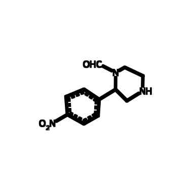 O=CN1CCNCC1c1ccc([N+](=O)[O-])cc1